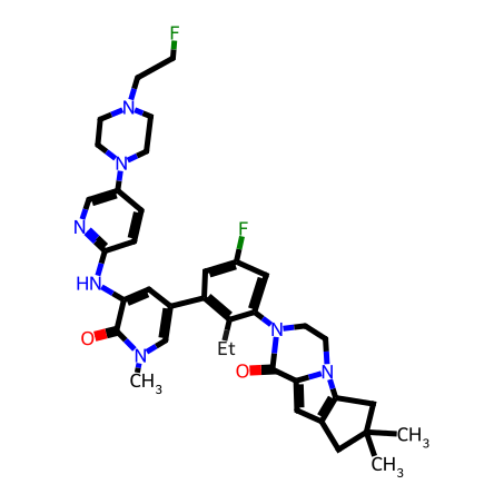 CCc1c(-c2cc(Nc3ccc(N4CCN(CCF)CC4)cn3)c(=O)n(C)c2)cc(F)cc1N1CCn2c(cc3c2CC(C)(C)C3)C1=O